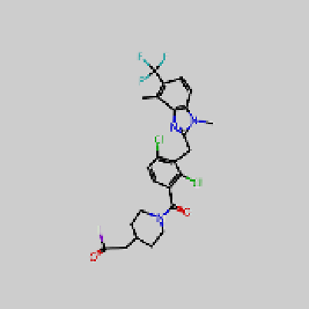 Cc1c(C(F)(F)F)ccc2c1nc(Cc1c(Cl)ccc(C(=O)N3CCC(CC(=O)I)CC3)c1Cl)n2C